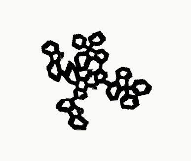 c1ccc(C2(c3ccccc3)c3ccccc3-c3c(-c4sc(-c5cccc6c5-c5ccccc5C6(c5ccccc5)c5ccccc5)c5nc6c7ccc(-c8cccc9c8oc8ccccc89)cc7c7cc(-c8cccc9c8oc8ccccc89)ccc7c6nc45)cccc32)cc1